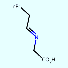 CCCCC=NCC(=O)O